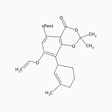 C=COc1cc(CCCCC)c2c(c1C1C=C(C)CCC1)OC(C)(C)OC2=O